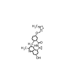 Cc1ccc2c(C3(NC(=O)c4cc(OC[C@@H]5CCN5C)ccc4C)CC3)cc(O)cc2n1